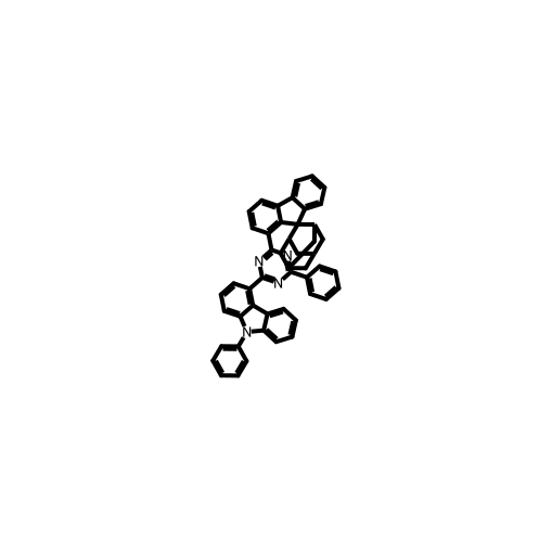 c1ccc(-c2nc(-c3cccc4c3C3(c5ccccc5-4)C4CC5CC(C4)CC3C5)nc(-c3cccc4c3c3ccccc3n4-c3ccccc3)n2)cc1